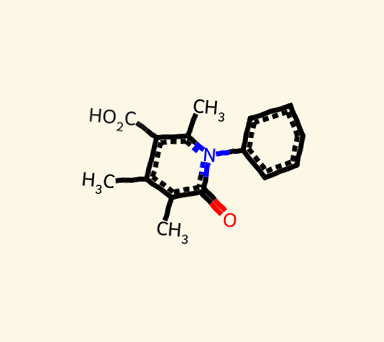 Cc1c(C(=O)O)c(C)n(-c2ccccc2)c(=O)c1C